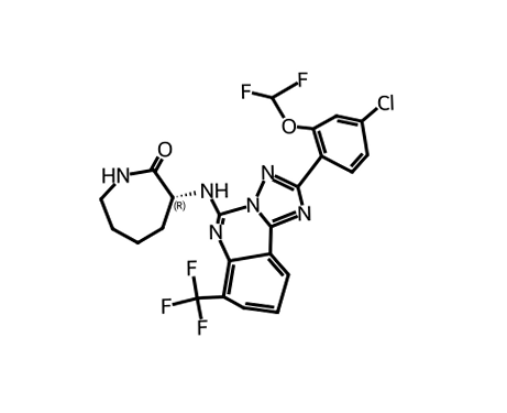 O=C1NCCCC[C@H]1Nc1nc2c(C(F)(F)F)cccc2c2nc(-c3ccc(Cl)cc3OC(F)F)nn12